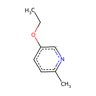 CCOc1[c]nc(C)cc1